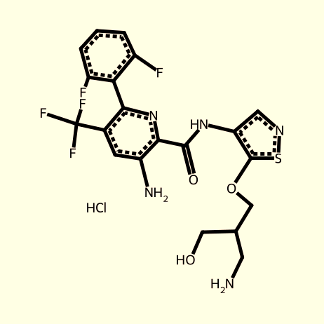 Cl.NCC(CO)COc1sncc1NC(=O)c1nc(-c2c(F)cccc2F)c(C(F)(F)F)cc1N